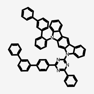 c1ccc(-c2cccc(-c3ccc(-c4nc(-c5ccccc5)nc(-n5c6ccccc6c6cc7c8ccccc8n(-c8ccccc8-c8cccc(-c9ccccc9)c8)c7cc65)n4)cc3)c2)cc1